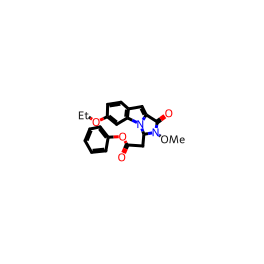 CCOc1ccc2cc3n(c2c1)C(CC(=O)Oc1ccccc1)N(OC)C3=O